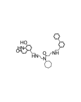 O=C(CCNCCc1cccc(-c2ccccc2)c1)N(CCNCCc1ccc(O)c2[nH]c(=O)ccc12)C1CCCCCC1